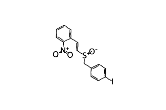 O=[N+]([O-])c1ccccc1C=C[S+]([O-])Cc1ccc(I)cc1